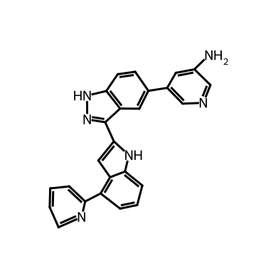 Nc1cncc(-c2ccc3[nH]nc(-c4cc5c(-c6ccccn6)cccc5[nH]4)c3c2)c1